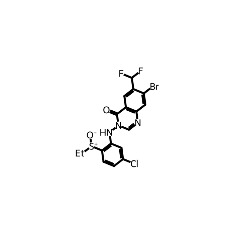 CC[S+]([O-])c1ccc(Cl)cc1Nn1cnc2cc(Br)c(C(F)F)cc2c1=O